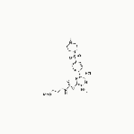 COCCCNC(=O)Oc1nc(-c2ccc(S(=O)(=O)N3CCN(C)CC3)cc2)cnc1N.Cl